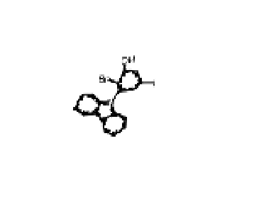 Oc1cc(I)cc(-n2c3ccccc3c3ccccc32)c1Br